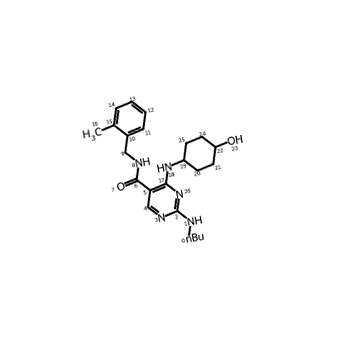 CCCCNc1ncc(C(=O)NCc2ccccc2C)c(NC2CCC(O)CC2)n1